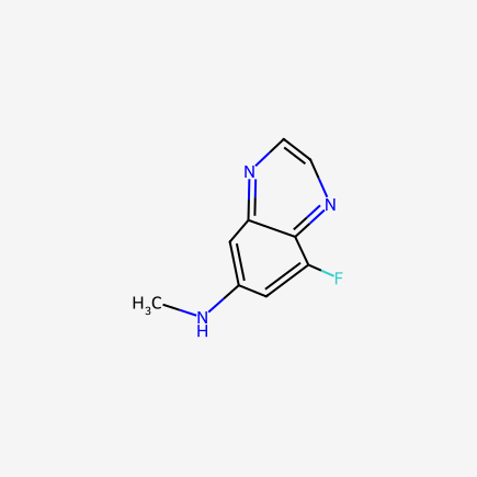 CNc1cc(F)c2nccnc2c1